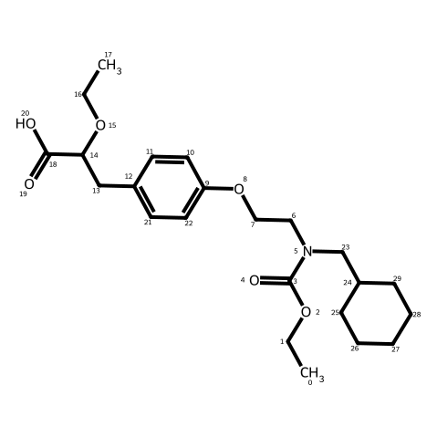 CCOC(=O)N(CCOc1ccc(CC(OCC)C(=O)O)cc1)CC1CCCCC1